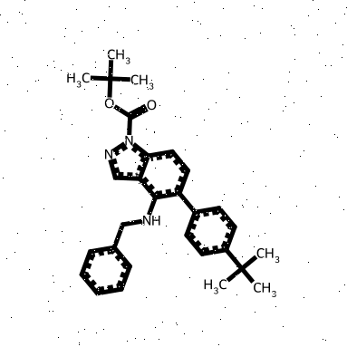 CC(C)(C)OC(=O)n1ncc2c(NCc3ccccc3)c(-c3ccc(C(C)(C)C)cc3)ccc21